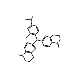 Cc1cc(N(C)C)ccc1C(c1ccc2c(c1)CCCN2C)c1ccc2c(c1)CCCN2C